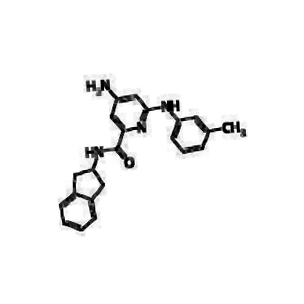 Cc1cccc(Nc2cc(N)cc(C(=O)NC3Cc4ccccc4C3)n2)c1